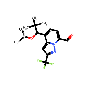 C[SiH](C)OC(c1ccc(C=O)n2nc(C(F)(F)F)cc12)C(C)(C)C